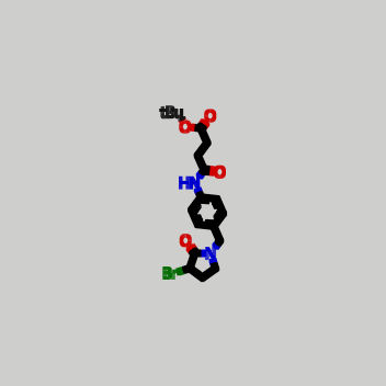 CC(C)(C)OC(=O)CCC(=O)Nc1ccc(CN2CCC(Br)C2=O)cc1